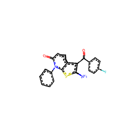 Nc1sc2c(ccc(=O)n2-c2ccccc2)c1C(=O)c1ccc(F)cc1